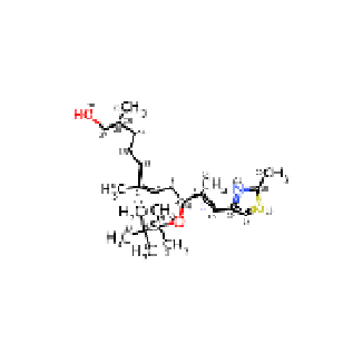 CC(=CC[C@H](O[Si](C)(C)C(C)(C)C)/C(C)=C/c1csc(C)n1)CCC[C@H](C)CO